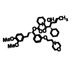 CC=C[C@@H](O)[C@@H](C(=O)N1CCCC[C@@H]1C(=O)O[C@@H](CCc1ccc(OC)c(OC)c1)c1cccc(OCCN2CCOCC2)c1)C1CCCCC1